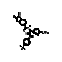 COc1ccc(C(C(=O)Nc2ccc([Si](C)(C)C)cc2)N(C)C(=O)c2ccc3c(c2)CC(=O)N3)cc1